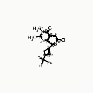 Cc1nc2c(C34CC(C(F)(F)F)(C3)C4)nc(Cl)cc2c(=O)n1C